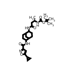 C[C@H](CC(=O)NC1CCC2CC1CCC2NC(=O)c1cc(C2CC2)on1)NC(=O)OC(C)(C)C